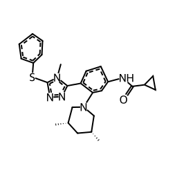 C[C@@H]1C[C@H](C)CN(c2cc(NC(=O)C3CC3)ccc2-c2nnc(Sc3ccccc3)n2C)C1